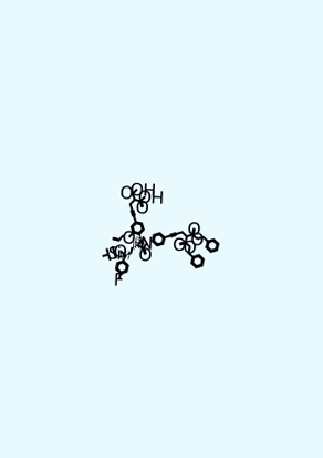 C=CCOc1cc(C#CCC(C(=O)O)C(=O)O)ccc1[C@@H]1[C@@H](CC[C@H](O[Si](C)(C)C(C)(C)C)c2ccc(F)cc2)C(=O)N1c1ccc(C#CCC(C(=O)OCc2ccccc2)C(=O)OCc2ccccc2)cc1